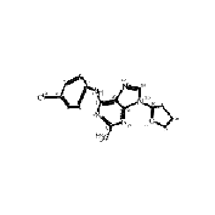 Nc1nc(Nc2ccc(Cl)cc2)c2ncn(C3CCCO3)c2n1